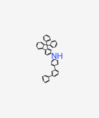 c1ccc(-c2cccc(-c3ccc(Nc4ccc5c(c4)C(c4ccccc4)(c4ccccc4)c4ccccc4-5)cc3)c2)cc1